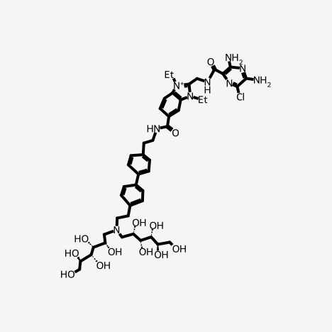 CCn1c(CNC(=O)c2nc(Cl)c(N)nc2N)[n+](CC)c2ccc(C(=O)NCCc3ccc(-c4ccc(CCN(C[C@H](O)[C@@H](O)[C@H](O)[C@H](O)CO)C[C@H](O)[C@@H](O)[C@H](O)[C@H](O)CO)cc4)cc3)cc21